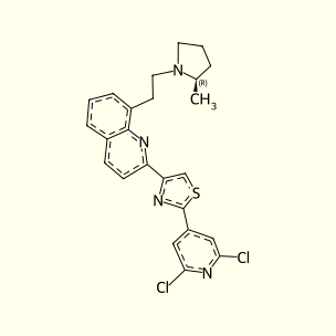 C[C@@H]1CCCN1CCc1cccc2ccc(-c3csc(-c4cc(Cl)nc(Cl)c4)n3)nc12